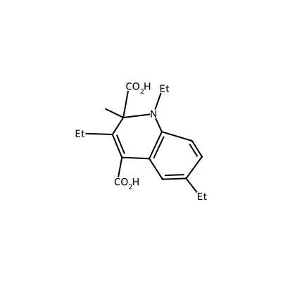 CCC1=C(C(=O)O)c2cc(CC)ccc2N(CC)C1(C)C(=O)O